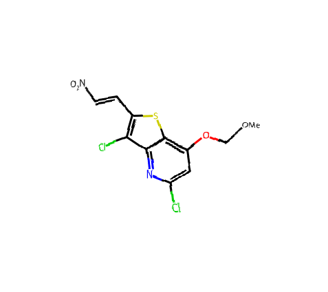 COCOc1cc(Cl)nc2c(Cl)c(/C=C/[N+](=O)[O-])sc12